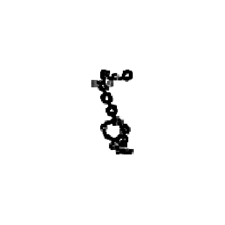 COC(=O)NC1C/C=C/COCc2[nH]c(nc2-c2ccc(-c3ccc(-c4c[nH]c(C5CCCN5C(=O)OCc5ccccc5)n4)cc3)cc2)C2CCCN2C1=O